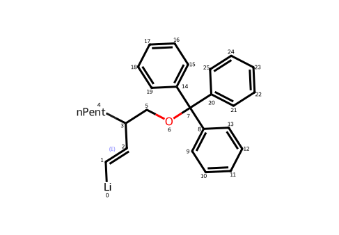 [Li]/[CH]=C/C(CCCCC)COC(c1ccccc1)(c1ccccc1)c1ccccc1